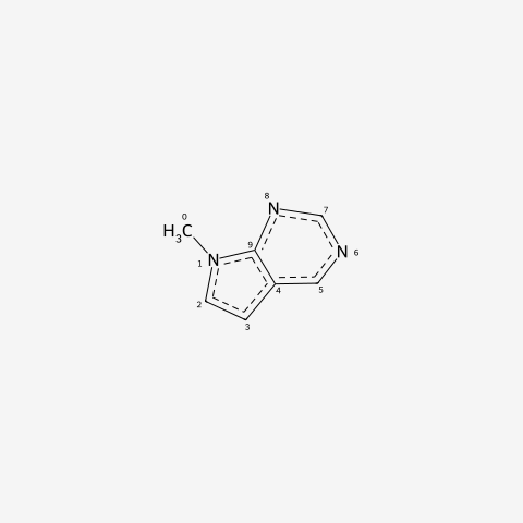 Cn1ccc2cncnc21